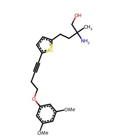 COc1cc(OC)cc(OCCC#Cc2ccc(CCC(C)(N)CO)s2)c1